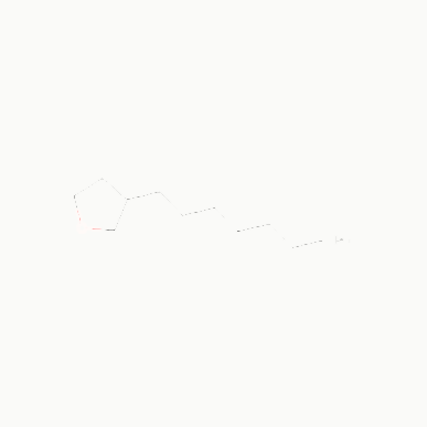 CCCCCCCCCCCCC1CCOC1